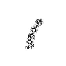 CCCOc1cccc(-c2ncc(-c3ccc(OC[C@H]4COC(C)(C)O4)cc3)cn2)c1